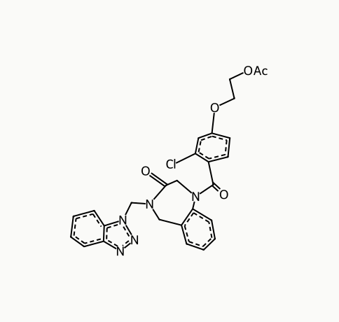 CC(=O)OCCOc1ccc(C(=O)N2CC(=O)N(Cn3nnc4ccccc43)Cc3ccccc32)c(Cl)c1